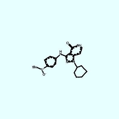 CC(C)(C)[S+]([O-])c1ccc(Nc2nn(C3CCCCC3)c3cc[nH]c(=O)c23)cc1